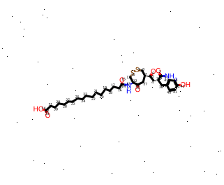 NC(=O)[C@@H](CC(=O)[C@@H]1CSSC[C@H](NC(=O)CCCCCCCCCCCCCCCCC(=O)O)C(=O)C1)Cc1ccc(O)cc1